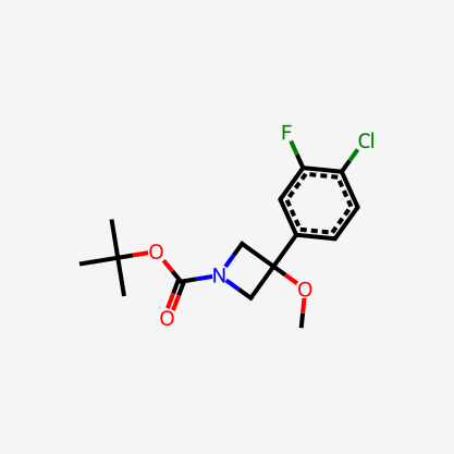 COC1(c2ccc(Cl)c(F)c2)CN(C(=O)OC(C)(C)C)C1